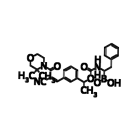 CC(OC(=O)NC(Cc1ccccc1)B(O)O)c1cccc(C=C(C#N)C(=O)N2CCOCC2(C)C)c1